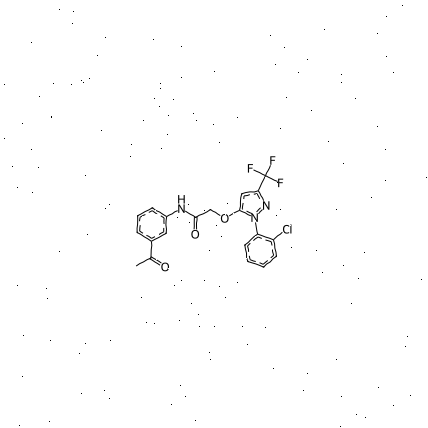 CC(=O)c1cccc(NC(=O)COc2cc(C(F)(F)F)nn2-c2ccccc2Cl)c1